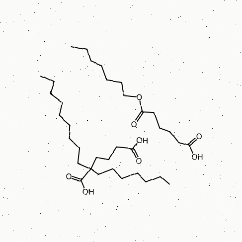 CCCCCCCCCC(CCCCCCC)(CCCC(=O)O)C(=O)O.CCCCCCCOC(=O)CCCCC(=O)O